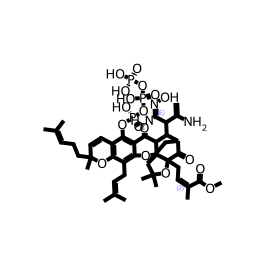 C=C(N)C(/C(N)=N\O)C1C2CC3C(C)(C)OC(C/C=C(/C)C(=O)OC)(C2=O)C32Oc3c(CC=C(C)C)c4c(c(OP(=O)(O)OP(=O)(O)OP(=O)(O)O)c3C(=O)C12)C=CC(C)(CCC=C(C)C)O4